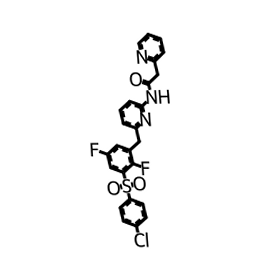 O=C(Cc1ccccn1)Nc1cccc(Cc2cc(F)cc(S(=O)(=O)c3ccc(Cl)cc3)c2F)n1